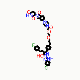 O=C1CCC(N2Cc3cc(N4CCN(C(=O)COCCOCCCc5ccc(-c6nn(-c7nc8cc(Cl)ccc8[nH]7)c(O)c6CCc6ccc(F)cc6)cc5)CC4)ccc3C2=O)C(=O)N1